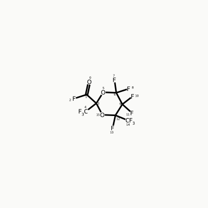 O=C(F)C1(C(F)(F)F)OC(F)(F)C(F)(F)C(F)(C(F)(F)F)O1